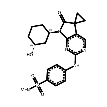 CNS(=O)(=O)c1ccc(Nc2ncc3c(n2)N([C@@H]2CCC[C@@H](O)C2)C(=O)C32CC2)cc1